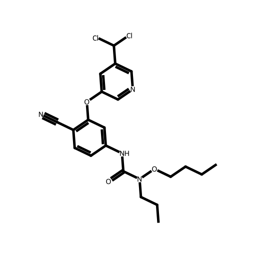 CCCCON(CCC)C(=O)Nc1ccc(C#N)c(Oc2cncc(C(Cl)Cl)c2)c1